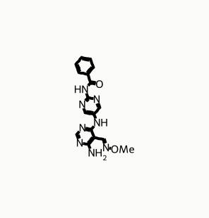 CON=Cc1c(N)ncnc1Nc1cnc(NC(=O)c2ccccc2)nc1